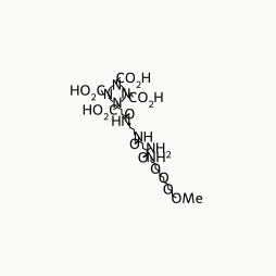 COCCOCCOCCOCCNC(=O)C(N)CCC(=O)NCCCCNC(=O)CCC(C(=O)O)N1CCN(CC(=O)O)CCN(CC(=O)O)CCN(CC(=O)O)CC1